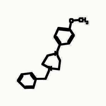 COc1ccc(N2CCN(Cc3ccccc3)CC2)cc1